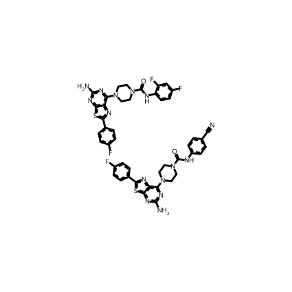 N#Cc1ccc(NC(=O)N2CCN(c3nc(N)nc4sc(-c5ccc(F)cc5)nc34)CC2)cc1.Nc1nc(N2CCN(C(=O)Nc3ccc(F)cc3F)CC2)c2nc(-c3ccc(F)cc3)sc2n1